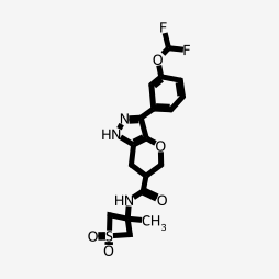 CC1(NC(=O)C2COc3c(-c4cccc(OC(F)F)c4)n[nH]c3C2)CS(=O)(=O)C1